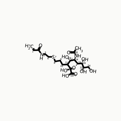 C=CC(=O)NCCSCCCC1[C@H](O)[C@@H](NC(C)=O)[C@H]([C@H](O)[C@H](O)CO)O[C@]1(O)C(=O)O